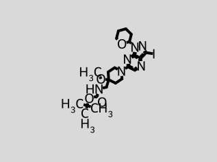 COC1(CNC(=O)OC(C)(C)C)CCN(c2cnc3c(I)nn(C4CCCCO4)c3n2)CC1